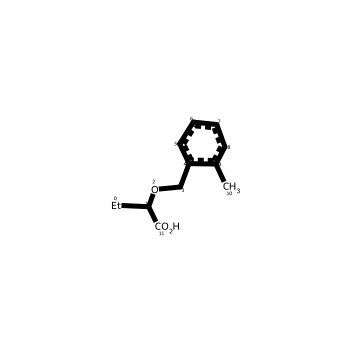 CCC(OCc1ccccc1C)C(=O)O